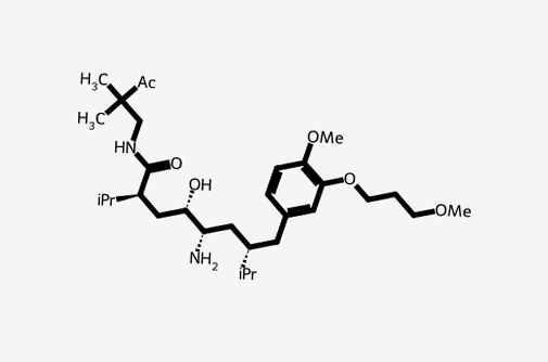 COCCCOc1cc(C[C@@H](C[C@H](N)[C@@H](O)C[C@H](C(=O)NCC(C)(C)C(C)=O)C(C)C)C(C)C)ccc1OC